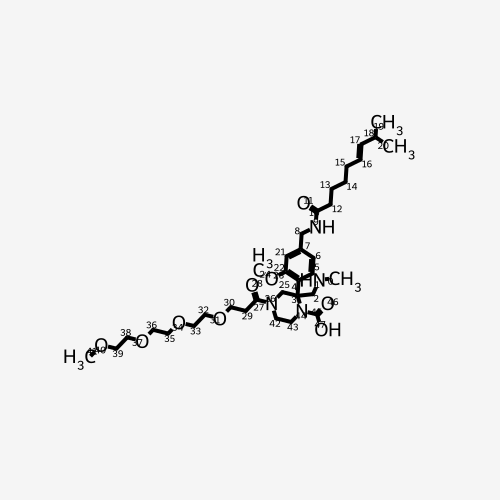 CNCC1(c2ccc(CNC(=O)CCCC/C=C/C(C)C)cc2OC)CN(C(=O)CCOCCOCCOCCOC)CCN1C(=O)O